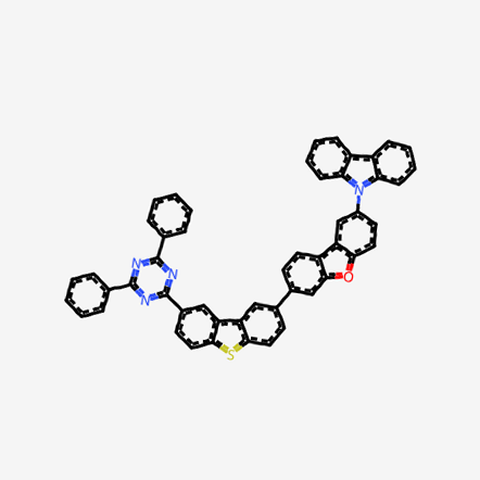 c1ccc(-c2nc(-c3ccccc3)nc(-c3ccc4sc5ccc(-c6ccc7c(c6)oc6ccc(-n8c9ccccc9c9ccccc98)cc67)cc5c4c3)n2)cc1